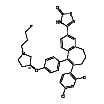 O=c1[nH]c(-c2ccc3c(c2)CCCC(c2ccc(Cl)cc2Cl)=C3c2ccc(O[C@H]3CCN(CCCF)C3)cc2)ns1